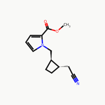 COC(=O)c1cccn1C[C@@H]1CC[C@H]1CC#N